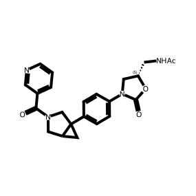 CC(=O)NC[C@H]1CN(c2ccc(C34CC3CN(C(=O)c3cccnc3)C4)cc2)C(=O)O1